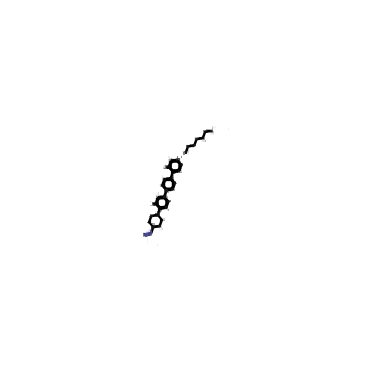 C/C=C/C1CCC(c2ccc(-c3ccc(-c4ccc(OCCCCCCCC)c(F)c4F)cc3)c(F)c2F)CC1